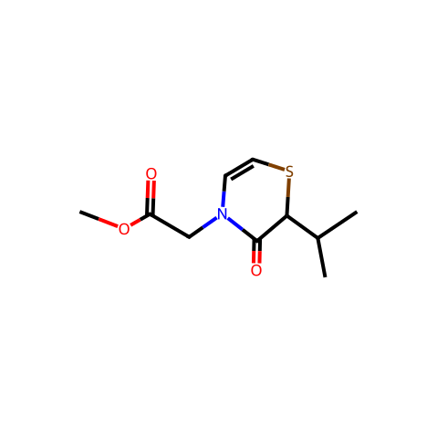 COC(=O)CN1C=CSC(C(C)C)C1=O